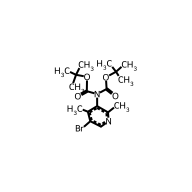 Cc1ncc(Br)c(C)c1N(C(=O)OC(C)(C)C)C(=O)OC(C)(C)C